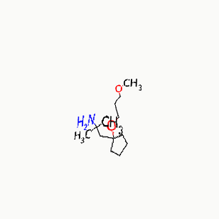 COCCCOC1(CC(C)(C)N)CCCC1